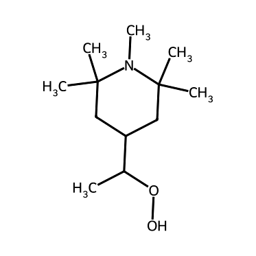 CC(OO)C1CC(C)(C)N(C)C(C)(C)C1